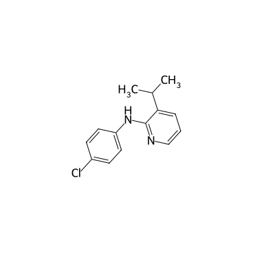 CC(C)c1cccnc1Nc1ccc(Cl)cc1